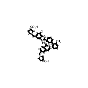 Cc1ccccc1C1=CC=CC(Nc2nccc3cc(CN4CC[C@H](O)C4)cnc23)(c2nc3cc(CN4CC[C@@H](C(=O)O)C4)cc(Cl)c3o2)C1C